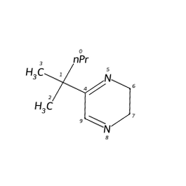 CCCC(C)(C)C1=NCCN=C1